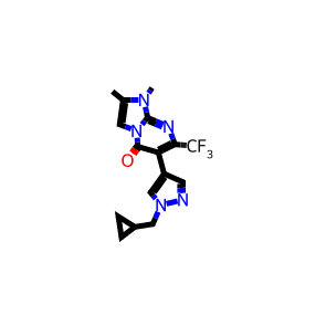 Cc1cn2c(=O)c(-c3cnn(CC4CC4)c3)c(C(F)(F)F)nc2n1C